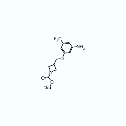 CC(C)(C)OC(=O)N1CC(COc2cc(N)cc(C(F)(F)F)c2)C1